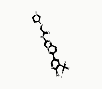 Nc1ncc(-c2ccc3nc(NC(=O)CO[C@H]4CCNC4)cn3n2)cc1C(F)(F)F